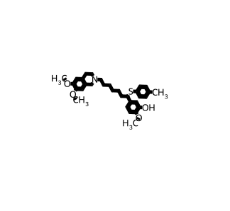 COc1ccc(C(CCCCCCN2CCc3cc(OC)c(OC)cc3C2)Sc2ccc(C)cc2)cc1O